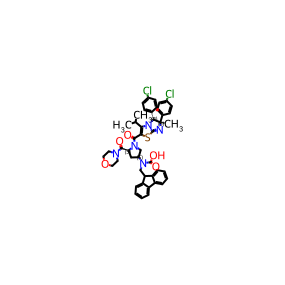 CC(C)C1=C(C(=O)N2C[C@@H](N(CC3c4ccccc4-c4ccccc43)C(=O)O)C[C@H]2C(=O)N2CCOCC2)SC2=N[C@@](C)(c3ccc(Cl)cc3)[C@@H](c3ccc(Cl)cc3)N21